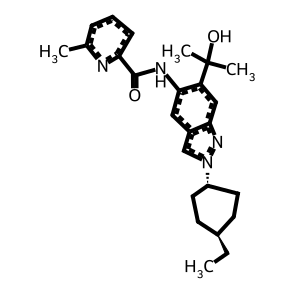 CC[C@H]1CC[C@H](n2cc3cc(NC(=O)c4cccc(C)n4)c(C(C)(C)O)cc3n2)CC1